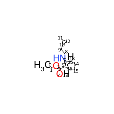 CCOC(=O)C1C(NCCC2CC2)[C@@H]2CC[C@H]1C2